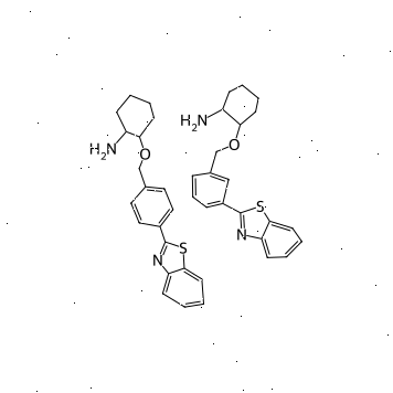 NC1CCCCC1OCc1ccc(-c2nc3ccccc3s2)cc1.NC1CCCCC1OCc1cccc(-c2nc3ccccc3s2)c1